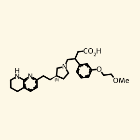 COCCOc1cccc(C(CC(=O)O)CN2CC[C@@H](CCc3ccc4c(n3)NCCC4)C2)c1